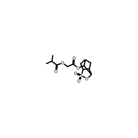 CC(C)C(=O)OCC(=O)OC1C2CC3C1OS(=O)(=O)C3C2